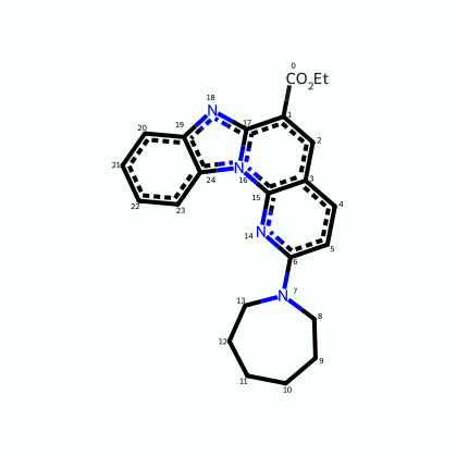 CCOC(=O)c1cc2ccc(N3CCCCCC3)nc2n2c1nc1ccccc12